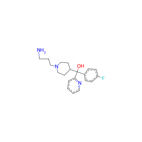 NCCCN1CCC(C(O)(c2ccc(F)cc2)c2ccccn2)CC1